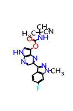 Cn1nc(-c2cnc3[nH]cc(OC(=O)NC(C)(C)C#N)c3n2)c2ccc(F)cc21